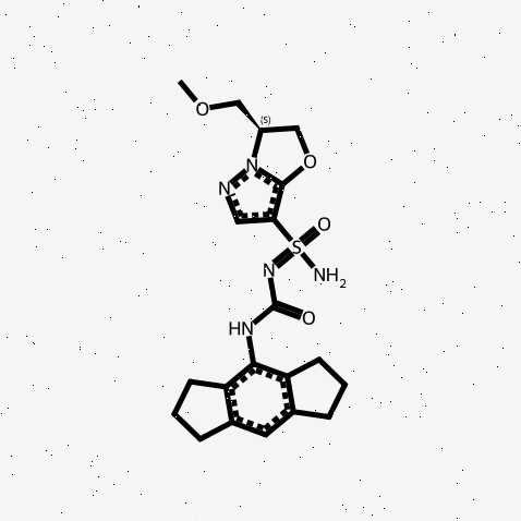 COC[C@H]1COc2c(S(N)(=O)=NC(=O)Nc3c4c(cc5c3CCC5)CCC4)cnn21